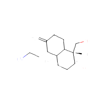 C=C1CCC2[C@](C)(CO)[C@H](O)CC[C@@]2(C)[C@@H]1CCN